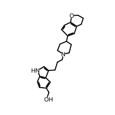 OCc1ccc2[nH]cc(CCCN3CCC(c4ccc5c(c4)CCCO5)CC3)c2c1